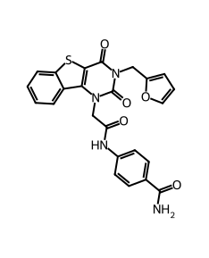 NC(=O)c1ccc(NC(=O)Cn2c(=O)n(Cc3ccco3)c(=O)c3sc4ccccc4c32)cc1